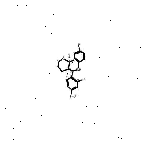 O=C(O)c1ccc([C@@H]2Nc3ccc(Cl)cc3[C@@H]3OCCC[C@H]23)c(F)c1